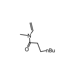 C=CN(C)C(=O)CCCCCC